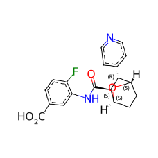 O=C(O)c1ccc(F)c(NC(=O)[C@H]2[C@H](c3ccncc3)[C@@H]3CC[C@@H]2O3)c1